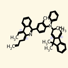 C=CC/C=c1/nc(-c2ccc(N(c3ccccc3)C(C)/C=C3\C(=C/C)c4ccccc4C3(C)C)c(C)c2)c2ccccc2/c1=C/C